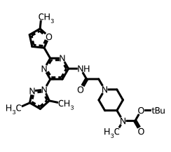 Cc1cc(C)n(-c2cc(NC(=O)CN3CCC(N(C)C(=O)OC(C)(C)C)CC3)nc(-c3ccc(C)o3)n2)n1